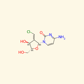 Nc1ccn([C@@H]2O[C@H](CO)[C@@H](O)C2=CCl)c(=O)n1